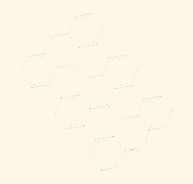 Nc1cccc2c1B1c3c(I)cccc3-c3ccc4c5c3N1c1c-2ccc2c1B5N1c3c(cccc3-2)Nc2cccc-4c21